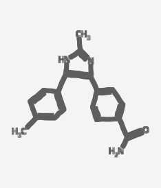 Cc1ccc(-c2[nH]c(C)nc2-c2ccc(C(N)=O)cc2)cc1